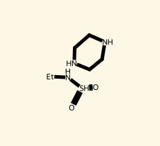 C1CNCCN1.CCN[SH](=O)=O